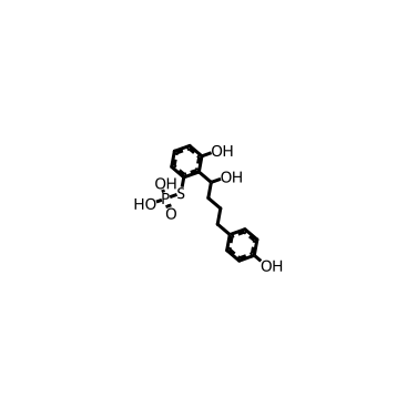 O=P(O)(O)Sc1cccc(O)c1C(O)CCCc1ccc(O)cc1